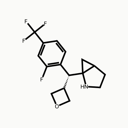 Fc1cc(C(F)(F)F)ccc1[C@@H](C1COC1)C12CC1CCN2